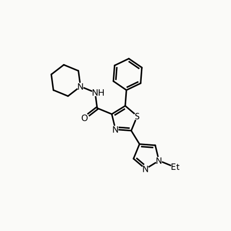 CCn1cc(-c2nc(C(=O)NN3CCCCC3)c(-c3ccccc3)s2)cn1